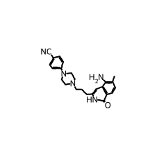 Cc1ccc2c(=O)[nH]c(CCCN3CCN(c4ccc(C#N)cc4)CC3)cc2c1N